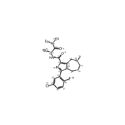 CCN(CC)C(=O)[C@@H](NC(=O)c1nc(-c2cc(Cl)ccc2F)n2c1CN(C)CCC2)C(C)(C)C